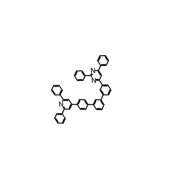 c1ccc(-c2cc(-c3ccc(-c4cccc(-c5cccc(-c6cc(-c7ccccc7)nc(-c7ccccc7)n6)c5)c4)cc3)cc(-c3ccccc3)n2)cc1